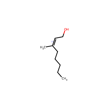 CCCCC/C(C)=C\CO